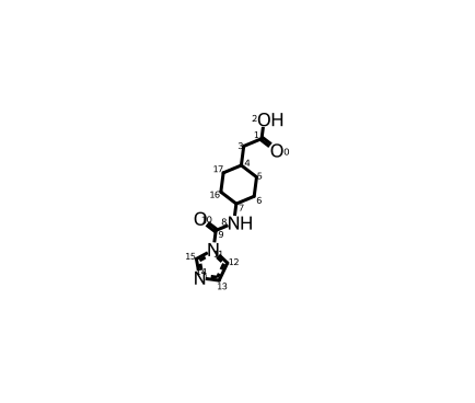 O=C(O)CC1CCC(NC(=O)n2ccnc2)CC1